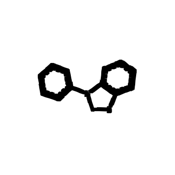 c1ccc(N2CSc3ccccc32)cc1